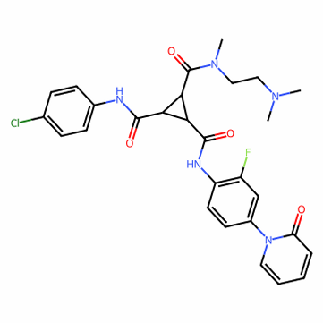 CN(C)CCN(C)C(=O)C1C(C(=O)Nc2ccc(Cl)cc2)C1C(=O)Nc1ccc(-n2ccccc2=O)cc1F